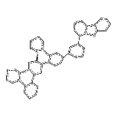 c1cc(-c2ccc3c(c2)c2ccccc2c2cc4c5ccccc5c5ccccc5c4cc32)cc(-c2cccc3c2oc2ccccc23)c1